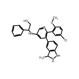 COc1ccc(Cl)cc1-c1ncc(NC(CO)c2ccccc2)cc1-c1ccc2c(c1)C(C)NN2